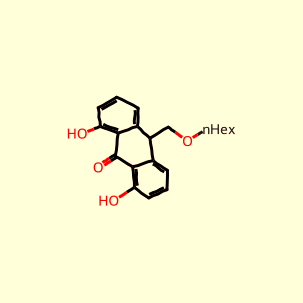 CCCCCCOCC1c2cccc(O)c2C(=O)c2c(O)cccc21